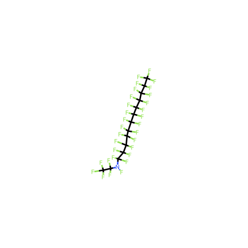 FN(C(F)(F)C(F)(F)F)C(F)(F)C(F)(F)C(F)(F)C(F)(F)C(F)(F)C(F)(F)C(F)(F)C(F)(F)C(F)(F)C(F)(F)C(F)(F)C(F)(F)F